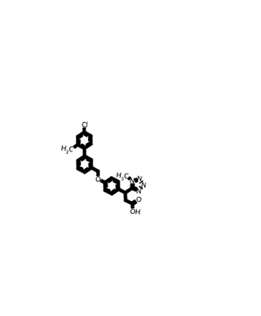 Cc1cc(Cl)ccc1-c1cccc(COc2ccc(C(CC(=O)O)c3nnnn3C)cc2)c1